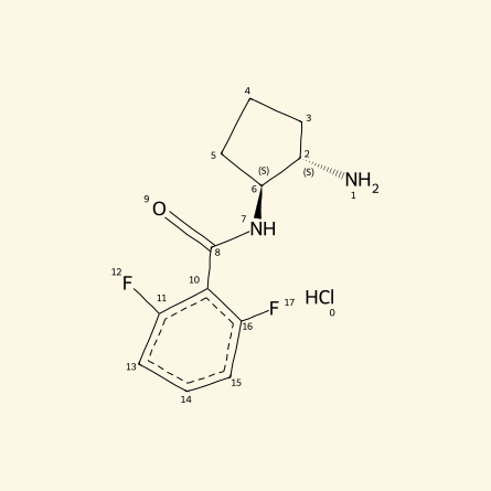 Cl.N[C@H]1CCC[C@@H]1NC(=O)c1c(F)cccc1F